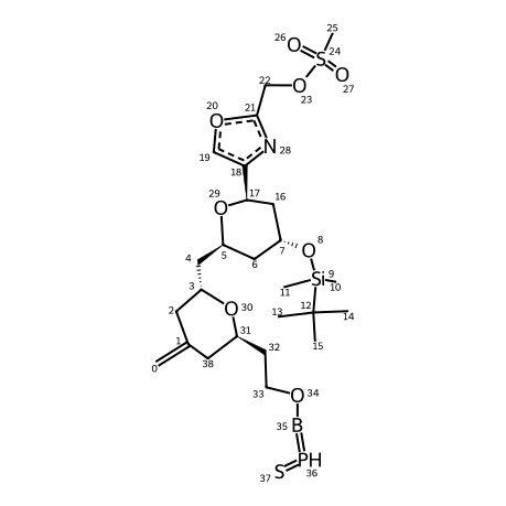 C=C1C[C@H](C[C@@H]2C[C@@H](O[Si](C)(C)C(C)(C)C)C[C@H](c3coc(COS(C)(=O)=O)n3)O2)O[C@@H](CCOB=[PH]=S)C1